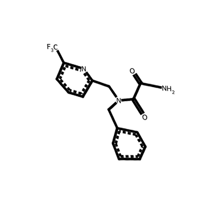 NC(=O)C(=O)N(Cc1ccccc1)Cc1cccc(C(F)(F)F)n1